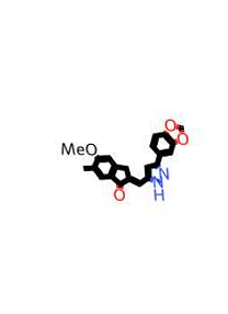 COc1cc2c(cc1C)C(=O)/C(=C/c1cc(-c3ccc4c(c3)OCO4)n[nH]1)C2